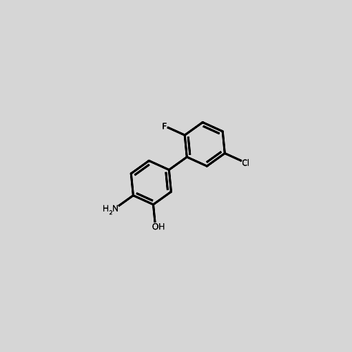 Nc1ccc(-c2cc(Cl)ccc2F)cc1O